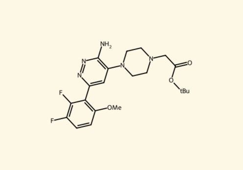 COc1ccc(F)c(F)c1-c1cc(N2CCN(CC(=O)OC(C)(C)C)CC2)c(N)nn1